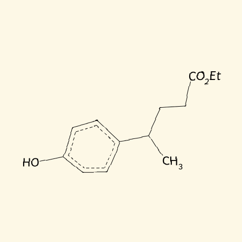 CCOC(=O)CCC(C)c1ccc(O)cc1